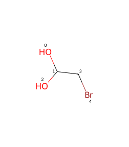 OC(O)CBr